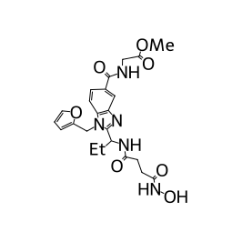 CCC(NC(=O)CCC(=O)NO)c1nc2cc(C(=O)NCC(=O)OC)ccc2n1Cc1ccco1